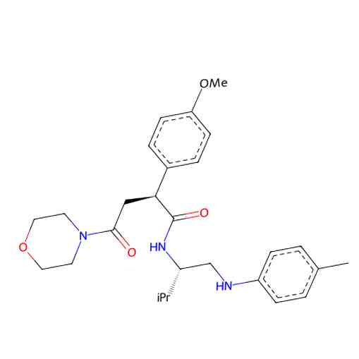 COc1ccc([C@H](CC(=O)N2CCOCC2)C(=O)N[C@H](CNc2ccc(C)cc2)C(C)C)cc1